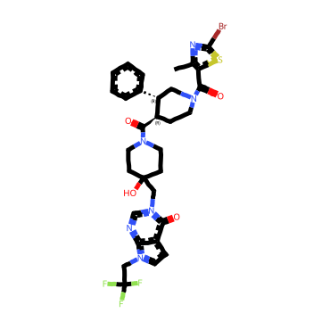 Cc1nc(Br)sc1C(=O)N1CC[C@@H](C(=O)N2CCC(O)(Cn3cnc4c(ccn4CC(F)(F)F)c3=O)CC2)[C@H](c2ccccc2)C1